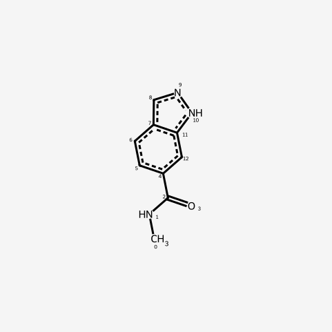 CNC(=O)c1ccc2cn[nH]c2c1